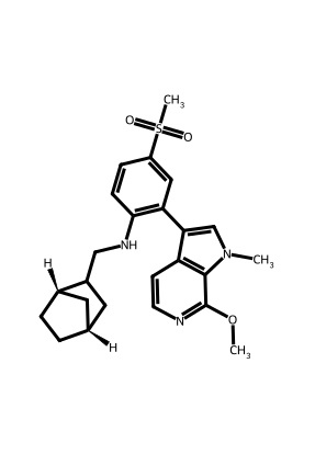 COc1nccc2c(-c3cc(S(C)(=O)=O)ccc3NCC3C[C@@H]4CC[C@H]3C4)cn(C)c12